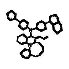 C=CC=CC(C1=CCCC=C1N1C(=C)/C=C\C=C/Cc2ccccc21)N(c1ccc(-c2ccccc2)cc1)c1ccc(-c2cccc3ccccc23)cc1